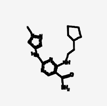 Cn1cc(Nc2ncc(C(N)=O)c(NCCC3CCCC3)n2)cn1